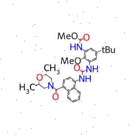 COC(=O)Nc1cc(C(C)(C)C)cc(NC(=O)Nc2ccc(C(=O)N3C[C@@H](C)O[C@H](C)C3)c3ccccc23)c1OC